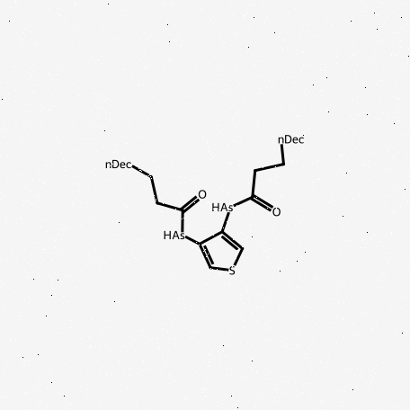 CCCCCCCCCCCCC(=O)[AsH]c1cscc1[AsH]C(=O)CCCCCCCCCCCC